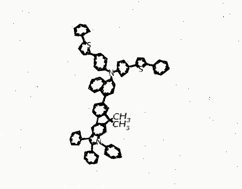 CC1(C)c2cc(-c3ccc(N(c4ccc(-c5ccc(-c6ccccc6)s5)cc4)c4ccc(-c5ccc(-c6ccccc6)s5)cc4)c4ccccc34)ccc2-c2cc3c(-c4ccccc4)c(-c4ccccc4)n(-c4ccccc4)c3cc21